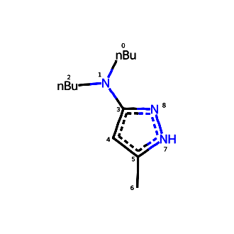 CCCCN(CCCC)c1cc(C)[nH]n1